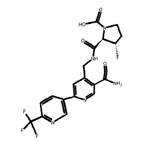 NC(=O)c1cnc(-c2ccc(C(F)(F)F)nc2)cc1CNC(=O)[C@@H]1[C@@H](F)CCN1C(=O)O